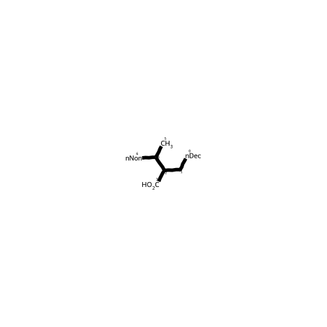 CCCCCCCCCCCC(C(=O)O)C(C)CCCCCCCCC